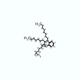 CCCCCCCCC(c1ccccc1O)C(CCCCCCC)CCCCCCC